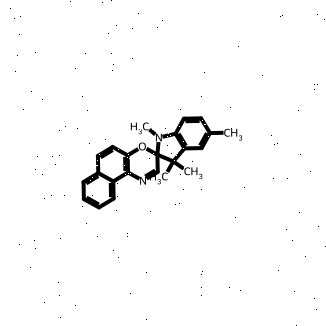 Cc1ccc2c(c1)C(C)(C)C1(C=Nc3c(ccc4ccccc34)O1)N2C